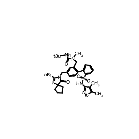 CCCCC1=NC2(CCCC2)C(=O)N1Cc1ccc(-c2ccccc2S(=O)(=O)Nc2noc(C)c2C)c(CN(C)C(=O)NC(C)(C)C)c1